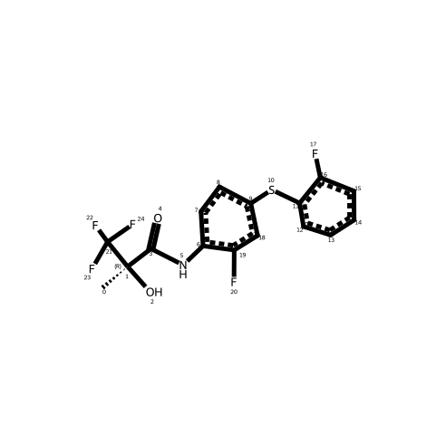 C[C@@](O)(C(=O)Nc1ccc(Sc2ccccc2F)cc1F)C(F)(F)F